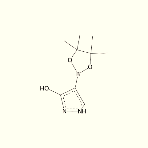 CC1(C)OB(c2c[nH]nc2O)OC1(C)C